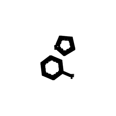 Fc1ccccc1.c1ccsc1